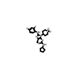 O=S1(=O)CCC(n2c(Nc3ccc(F)cc3F)nc3cnc(NC4CCCC4)nc32)CC1